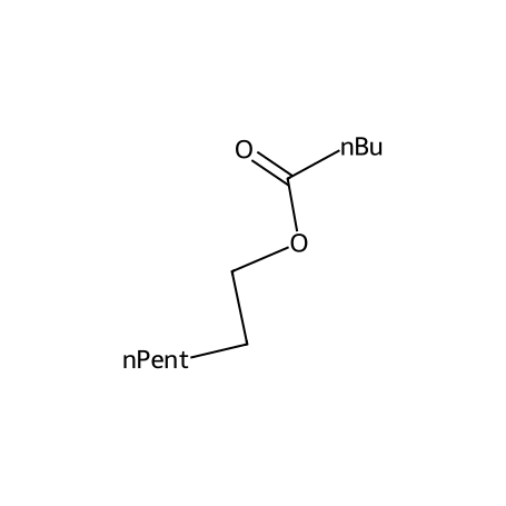 [CH2]CCCC(=O)OCCCCCCC